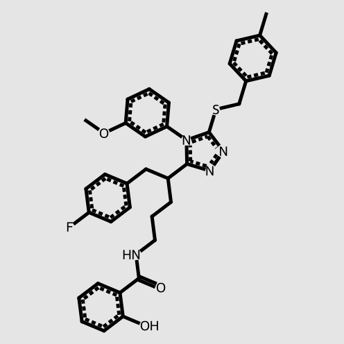 COc1cccc(-n2c(SCc3ccc(C)cc3)nnc2C(CCCNC(=O)c2ccccc2O)Cc2ccc(F)cc2)c1